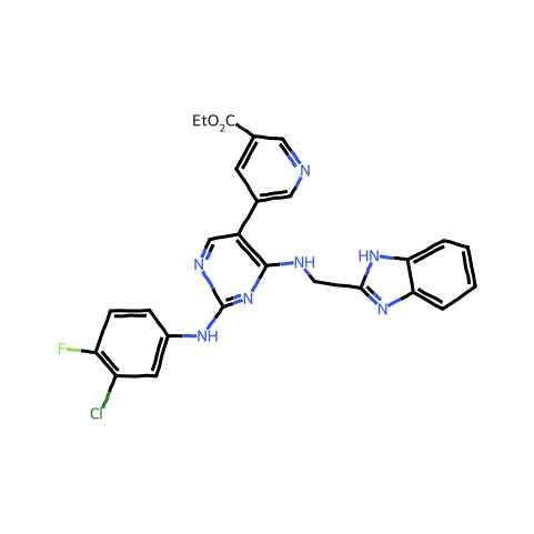 CCOC(=O)c1cncc(-c2cnc(Nc3ccc(F)c(Cl)c3)nc2NCc2nc3ccccc3[nH]2)c1